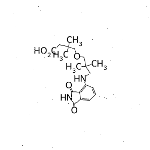 CC(C)(CNc1cccc2c1C(=O)NC2=O)COCC(C)(C)CC(=O)O